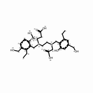 CCc1cc(CO)cc(O)c1CN(CCN(Cc1c(O)ccc(CO)c1CC)[C@H](CO)CC(=O)O)CC(=O)O